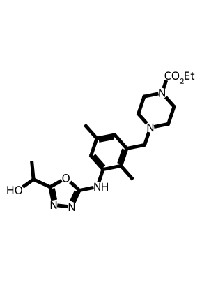 CCOC(=O)N1CCN(Cc2cc(C)cc(Nc3nnc(C(C)O)o3)c2C)CC1